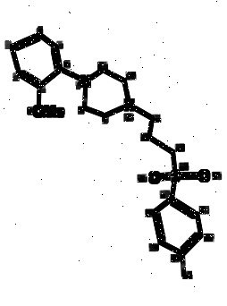 COc1ccccc1N1CCN(CCCS(=O)(=O)c2ccc(C)cc2)CC1